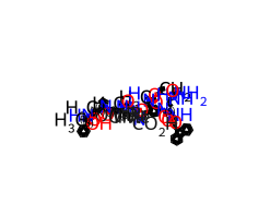 C=CCOC(=O)N(C)Cc1cc(NC(=O)[C@H](CCCNC(N)=O)NC(=O)OCC2c3ccccc3-c3ccccc32)ccc1CCN(C(=O)O)C(C(=O)NC(C(=O)N(C)C([C@@H](C)CC)[C@@H](CC(=O)N1CCC[C@H]1[C@H](OC)[C@@H](C)C(=O)N[C@H](C)[C@@H](O)c1ccccc1)OC)C(C)C)C(C)C